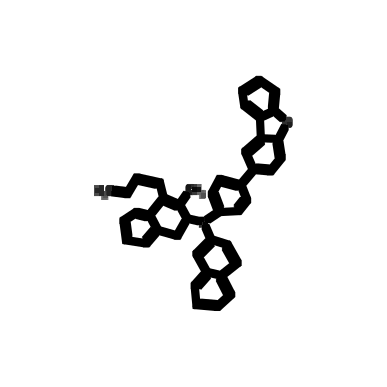 C=C/C=C\C1=C(C)C(N(c2ccc(-c3ccc4oc5ccccc5c4c3)cc2)c2ccc3ccccc3c2)Cc2ccccc21